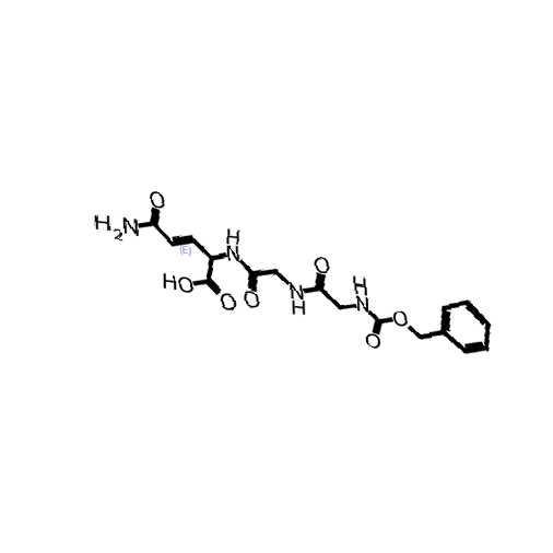 NC(=O)/C=C/C(NC(=O)CNC(=O)CNC(=O)OCc1ccccc1)C(=O)O